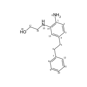 Nc1ccc(CCc2ccccc2)cc1NCCO